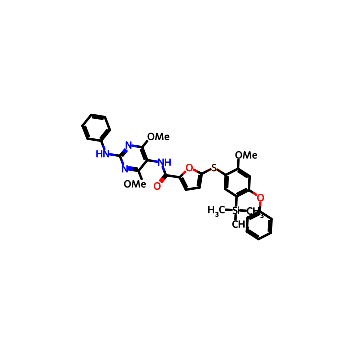 COc1cc(Oc2ccccc2)c([Si](C)(C)C)cc1Sc1ccc(C(=O)Nc2c(OC)nc(Nc3ccccc3)nc2OC)o1